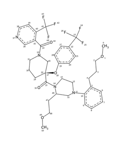 COCCCc1ccccc1N1CCN(C(=O)[C@]2(Oc3ccc(C(F)(F)F)cc3)CCCN(C(=O)c3cnccc3C(F)(F)F)C2)C(CCOC)C1